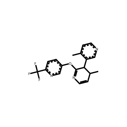 Cc1ccncc1C1C(Oc2ccc(C(F)(F)F)nc2)=NC=CC1C